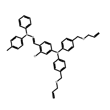 C=CCOCc1ccc(N(c2ccc(COCC=C)cc2)c2ccc(C=NN(c3ccccc3)c3ccc(C)cc3)c(Cl)c2)cc1